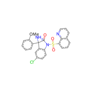 COc1ccccc1C1(N)C(=O)N(S(=O)(=O)c2cccc3cccnc23)c2ccc(Cl)cc21